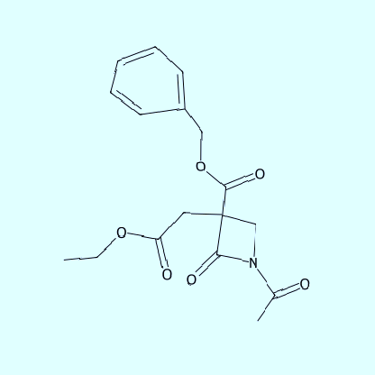 CCOC(=O)CC1(C(=O)OCc2ccccc2)CN(C(C)=O)C1=O